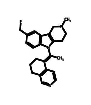 C/C(=C1/CCCc2cnccc21)n1c2c(c3cc(CF)ccc31)CN(C)CC2